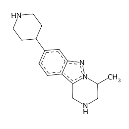 CC1CNCc2c3ccc(C4CCNCC4)cc3nn21